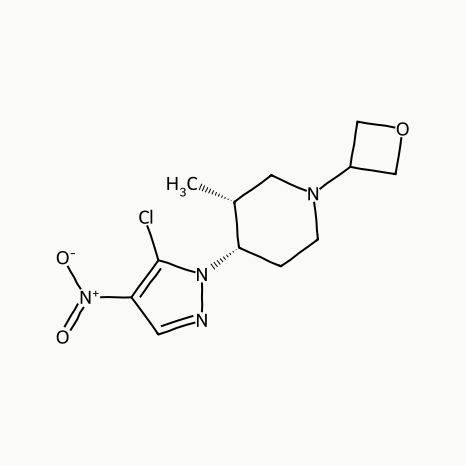 C[C@@H]1CN(C2COC2)CC[C@@H]1n1ncc([N+](=O)[O-])c1Cl